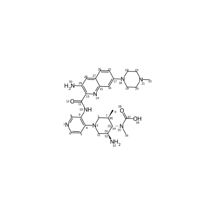 C[C@@H]1CN(c2ccncc2NC(=O)c2nc3cc(N4CCN(C)CC4)ccc3cc2N)C[C@H](N)[C@H]1N(C)C(=O)O